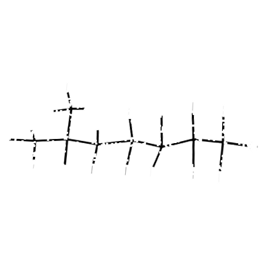 [O]C(I)(I)C(I)(I)C(I)(I)C(I)(I)C(I)(I)C(I)(C(I)(I)I)C(I)(I)I